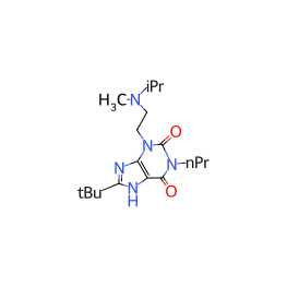 CCCn1c(=O)c2[nH]c(C(C)(C)C)nc2n(CCN(C)C(C)C)c1=O